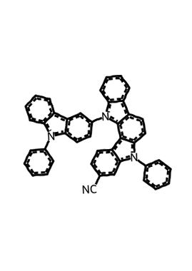 N#Cc1ccc2c3c(ccc4c5ccccc5n(-c5ccc6c(c5)c5ccccc5n6-c5ccccc5)c43)n(-c3ccccc3)c2c1